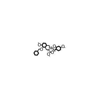 COC(=O)[C@@H]1Cc2c(ccc(OC)c2OCc2ccccc2)CN1c1nc2ccc(OC)cc2o1